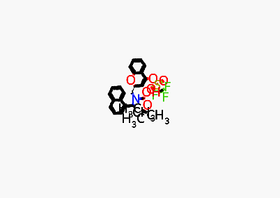 C[C@H](c1cccc2ccccc12)N(C[C@H]1C=C(OS(=O)(=O)C(F)(F)F)c2ccccc2O1)C(O)OC(C)(C)C